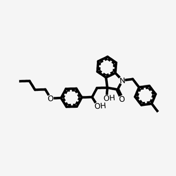 CCCCOc1ccc(C(O)CC2(O)C(=O)N(Cc3ccc(C)cc3)c3ccccc32)cc1